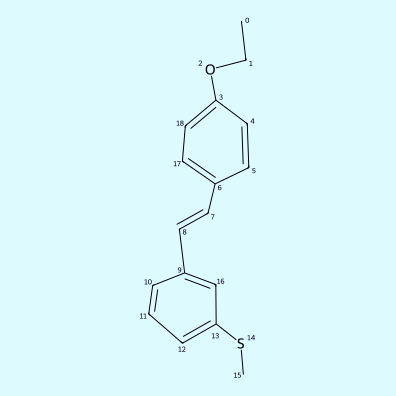 CCOc1ccc(C=Cc2cccc(SC)c2)cc1